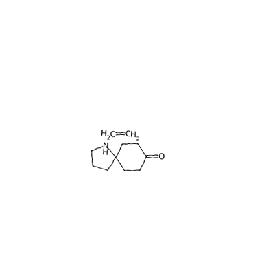 C=C.O=C1CCC2(CCCN2)CC1